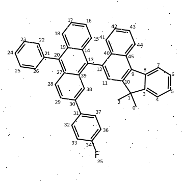 CC1(C)c2ccccc2-c2c1cc(-c1c3ccccc3c(-c3ccccc3)c3ccc(-c4ccc(F)cc4)cc13)c1ccccc21